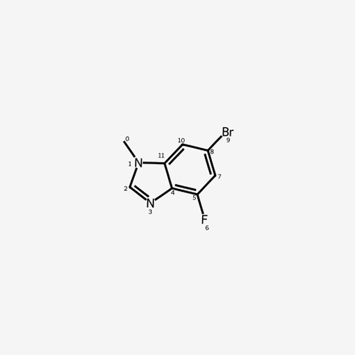 Cn1cnc2c(F)cc(Br)cc21